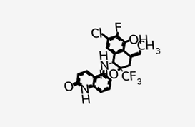 C/C=C1/C[C@](O)(C(F)(F)F)[C@H](Nc2cccc3[nH]c(=O)ccc23)c2cc(Cl)c(F)c(O)c21